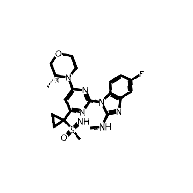 CNc1nc2cc(F)ccc2n1-c1nc(N2CCOC[C@H]2C)cc(C2(S(C)(=N)=O)CC2)n1